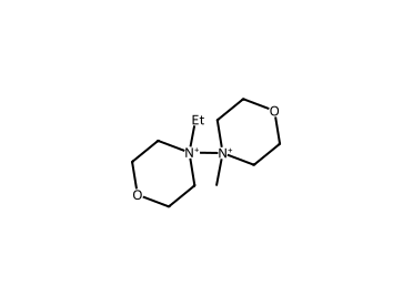 CC[N+]1([N+]2(C)CCOCC2)CCOCC1